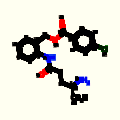 N[C@@H](CCC(=O)Nc1ccccc1COC(=O)c1ccc(Cl)cc1)C(=O)O